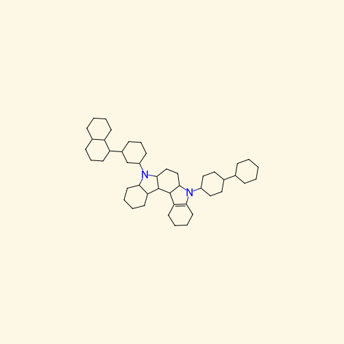 C1CCC(C2CCC(N3C4=C(CCCC4)C4C5C6CCCCC6N(C6CCCC(C7CCCC8CCCCC87)C6)C5CCC43)CC2)CC1